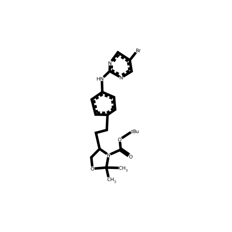 CC(C)(C)OC(=O)N1C(CCc2ccc(Nc3ncc(Br)cn3)cc2)COC1(C)C